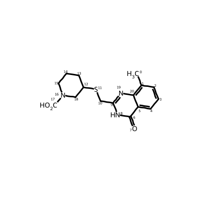 Cc1cccc2c(=O)[nH]c(CSC3CCCN(C(=O)O)C3)nc12